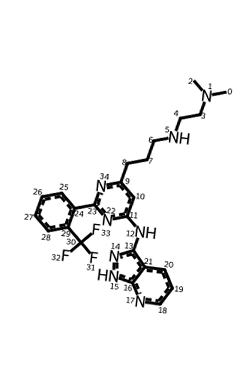 CN(C)CCNCCCc1cc(Nc2n[nH]c3ncccc23)nc(-c2ccccc2C(F)(F)F)n1